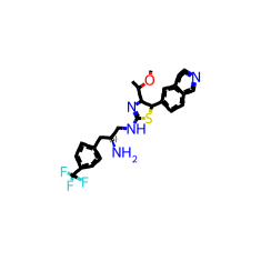 COC(C)C1N=C(NC[C@@H](N)Cc2ccc(C(F)(F)F)cc2)SC1c1ccc2cnccc2c1